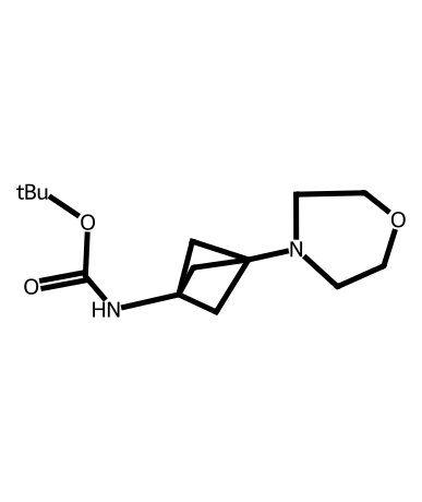 CC(C)(C)OC(=O)NC12CC(N3CCOCC3)(C1)C2